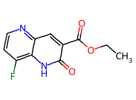 CCOC(=O)c1cc2nccc(F)c2[nH]c1=O